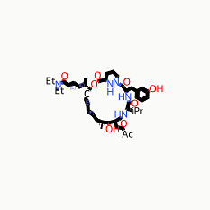 CCN(CC)C(=O)/C=C/C=C(\C)[C@@H]1C/C=C/C=C/C[C@H](C)C(O)C(CCC(C)=O)C(=O)NC(C(C)C)C(=O)NC(Cc2cccc(O)c2)C(=O)N2CCCC(N2)C(=O)O1